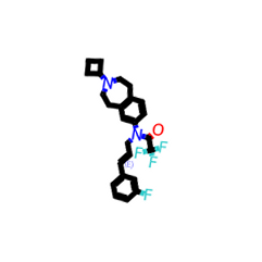 O=C(N(C/C=C/c1cccc(F)c1)c1ccc2c(c1)CCN(C1CCC1)CC2)C(F)(F)F